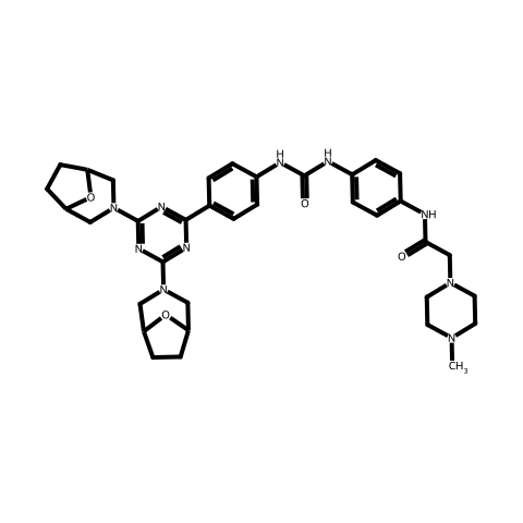 CN1CCN(CC(=O)Nc2ccc(NC(=O)Nc3ccc(-c4nc(N5CC6CCC(C5)O6)nc(N5CC6CCC(C5)O6)n4)cc3)cc2)CC1